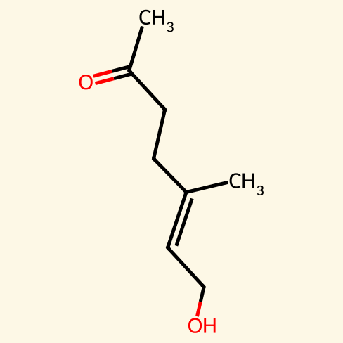 CC(=O)CC/C(C)=C/CO